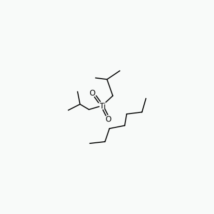 CC(C)[CH2][Ti](=[O])(=[O])[CH2]C(C)C.CCCCCCC